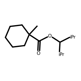 CC(C)C(OC(=O)C1(C)CCCCC1)C(C)C